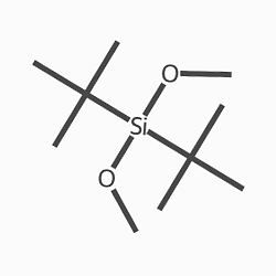 CO[Si](OC)(C(C)(C)C)C(C)(C)C